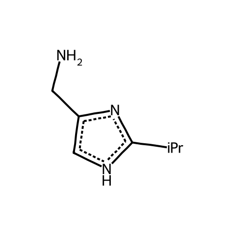 CC(C)c1nc(CN)c[nH]1